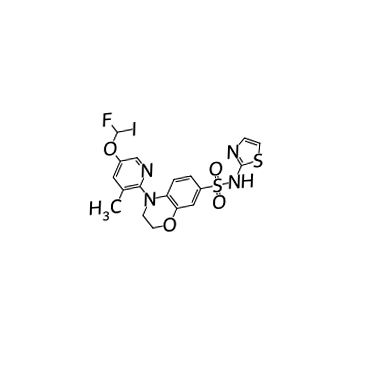 Cc1cc(OC(F)I)cnc1N1CCOc2cc(S(=O)(=O)Nc3nccs3)ccc21